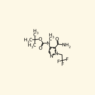 CN(C(=O)OC(C)(C)C)c1cnn(CC(F)(F)F)c1C(N)=O